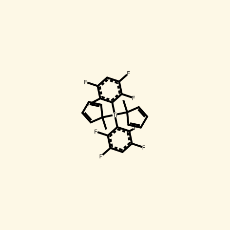 C[C]1([Ti]([c]2c(F)c(F)cc(F)c2F)([c]2c(F)c(F)cc(F)c2F)[C]2(C)C=CC=C2)C=CC=C1